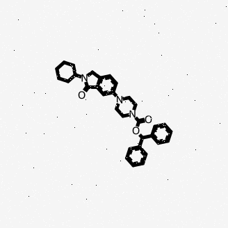 O=C(OC(c1ccccc1)c1ccccc1)N1CCN(c2ccc3c(c2)C(=O)N(C2CCCCC2)C3)CC1